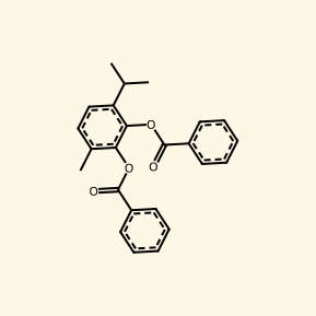 Cc1ccc(C(C)C)c(OC(=O)c2ccccc2)c1OC(=O)c1ccccc1